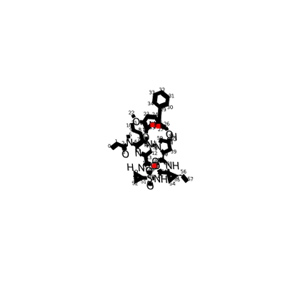 C=CC(=O)N(C)C1=C(CCC)[N@+]2(CC(C(N)=O)=N1)Oc1c(OC)ccc3c(cc(-c4ccccc4)nc13)O[C@@H]1C[C@@H](C(=O)N[C@]3(C(=O)NS(=O)(=O)C4CC4)C[C@H]3C=C)N2C1